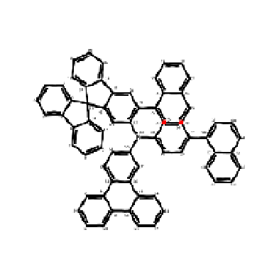 c1ccc2c(c1)-c1ccccc1C21c2ccccc2-c2cc(-c3cccc4ccccc34)c(N(c3ccc(-c4cccc5ccccc45)cc3)c3ccc4c5ccccc5c5ccccc5c4c3)cc21